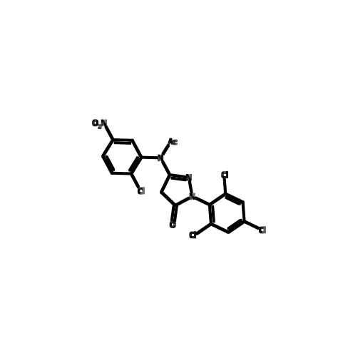 CC(=O)N(C1=NN(c2c(Cl)cc(Cl)cc2Cl)C(=O)C1)c1cc([N+](=O)[O-])ccc1Cl